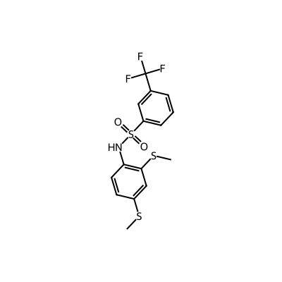 CSc1ccc(NS(=O)(=O)c2cccc(C(F)(F)F)c2)c(SC)c1